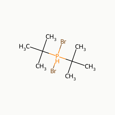 CC(C)(C)[PH](Br)(Br)C(C)(C)C